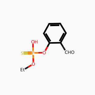 CCOP(O)(=S)Oc1ccccc1C=O